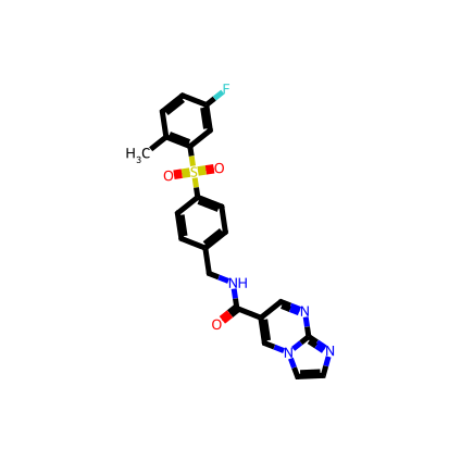 Cc1ccc(F)cc1S(=O)(=O)c1ccc(CNC(=O)c2cnc3nccn3c2)cc1